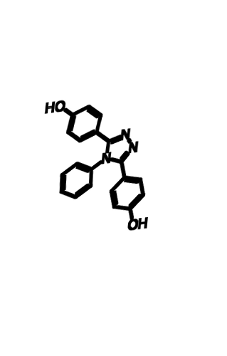 Oc1ccc(-c2nnc(-c3ccc(O)cc3)n2-c2ccccc2)cc1